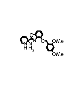 COc1ccc(COc2cccc3oc(C4(N)C=CC=CN4)nc23)c(OC)c1